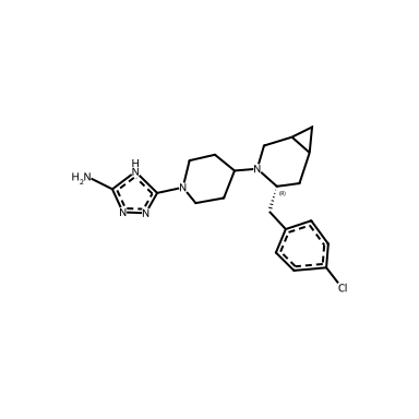 Nc1nnc(N2CCC(N3CC4CC4C[C@@H]3Cc3ccc(Cl)cc3)CC2)[nH]1